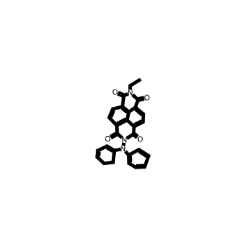 CCN1C(=O)c2ccc3c4c(ccc(c24)C1=O)C(=O)N(N(C1=CC=CCC1)c1ccccc1)C3=O